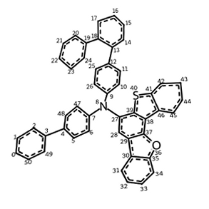 c1ccc(-c2ccc(N(c3ccc(-c4ccccc4-c4ccccc4)cc3)c3cc4c5ccccc5oc4c4c3sc3ccccc34)cc2)cc1